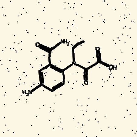 CCN(C(=O)C(=O)O)c1ccc(N)cc1C(N)=O